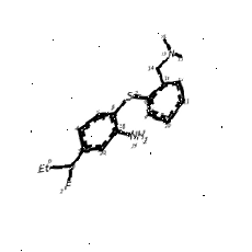 CCC(F)c1ccc(Sc2ccccc2CN(C)C)c(N)c1